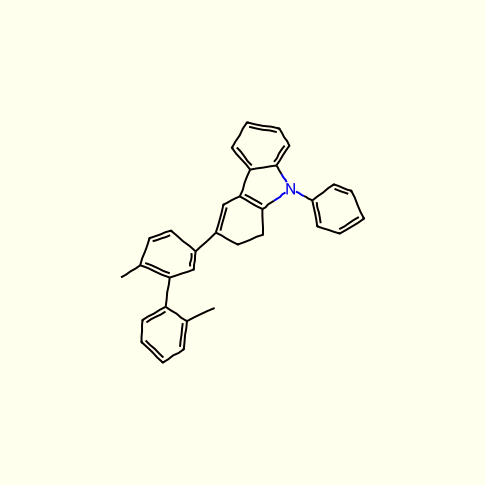 Cc1ccccc1-c1cc(C2=Cc3c(n(-c4ccccc4)c4ccccc34)CC2)ccc1C